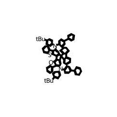 CC(C)(C)c1ccc(N(c2ccc(C3=CCCC=C3)cc2)c2cc3c(c4oc5ccccc5c24)-c2c(cc(N(c4ccc(-c5ccccc5)cc4)c4ccc(C(C)(C)C)cc4)c4c2sc2ccccc24)C32C3=CCCC=C3c3ccccc32)cc1